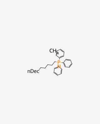 C.CCCCCCCCCCCCCCC[PH](c1ccccc1)(c1ccccc1)c1ccccc1